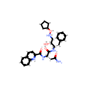 NC(=O)C[C@H](NC(=O)c1ccc2ccccc2n1)C(=O)N[C@@H](Cc1ccccc1)[C@H](O)CNOC1CCCC1